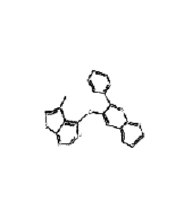 Cc1csc2ncnc(Oc3cc4cccnc4nc3-c3ccccc3)c12